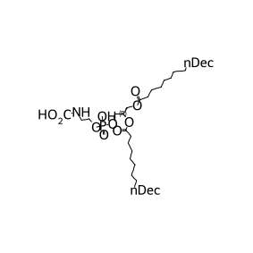 CCCCCCCCCCCCCCCCCC(=O)OC[C@H](COP(=O)(O)OCCNC(=O)O)OC(=O)CCCCCCCCCCCCCCCCC